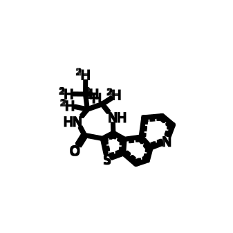 [2H]C([2H])([2H])C1([2H])NC(=O)c2sc3ccc4ncccc4c3c2NC1([2H])[2H]